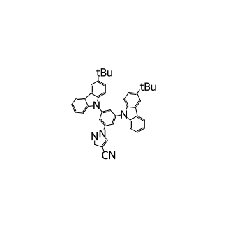 CC(C)(C)c1ccc2c(c1)c1ccccc1n2-c1cc(-n2cc(C#N)cn2)cc(-n2c3ccccc3c3cc(C(C)(C)C)ccc32)c1